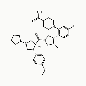 COc1ccc([C@@H]2CN(C3CCCC3)C[C@@]2(F)C(=O)N2C[C@H](c3ccc(F)cc3N3CCC(C(=O)O)CC3)[C@@H](C)C2)cc1